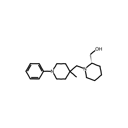 CC1(CN2CCCC[C@H]2CO)CCN(c2ccccc2)CC1